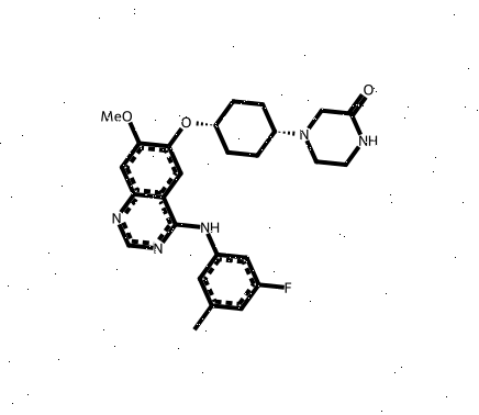 COc1cc2ncnc(Nc3cc(C)cc(F)c3)c2cc1O[C@H]1CC[C@@H](N2CCNC(=O)C2)CC1